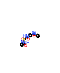 O=C(CC[S+]([O-])c1nc2ccccc2c(=O)[nH]1)N[C@H]1CC[C@H](c2nnc(-c3ccccc3)o2)CC1